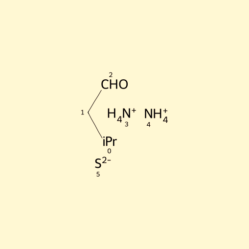 CC(C)CC=O.[NH4+].[NH4+].[S-2]